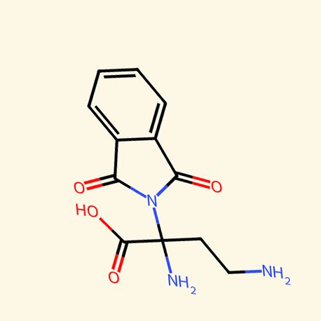 NCCC(N)(C(=O)O)N1C(=O)c2ccccc2C1=O